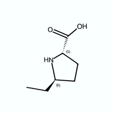 CC[C@@H]1CC[C@@H](C(=O)O)N1